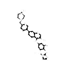 CN1CCN(Cc2ccc(-c3ccc4c(Nc5ccc(Sc6nccn6C)c(Cl)c5)c(C#N)cnc4c3)cn2)CC1